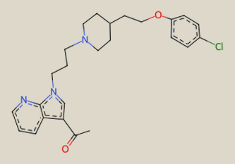 CC(=O)c1cn(CCCN2CCC(CCOc3ccc(Cl)cc3)CC2)c2ncccc12